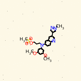 COc1cc(OC)cc(N(CCCOS(C)(=O)=O)c2ccc3ncc(-c4cnn(C)c4)cc3c2)c1